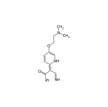 CC(C)C(=O)/C(C=N)=C1\C=CC(OCCN(C)C)=CN1